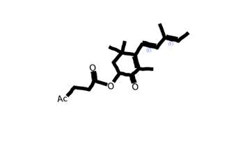 C/C=C(C)/C=C/C1=C(C)C(=O)C(OC(=O)CCC(C)=O)CC1(C)C